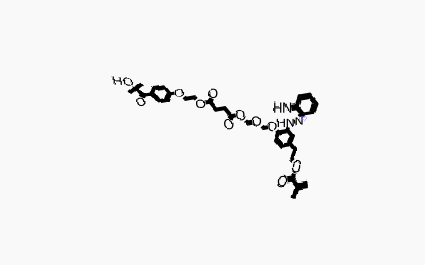 C=C(C)C(=O)OCCc1ccc(OCOCOC(=O)CCC(=O)OCCOc2ccc(C(=O)C(C)(C)O)cc2)c(N/N=C2/C=CC=CC2=N)c1